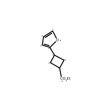 CCOC(=O)C1CC(c2ccco2)C1